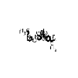 CCCN1CCC(Oc2ccc(NS(=O)(=O)c3ccc([C@H](C)C(F)F)cc3)c(C)n2)C1